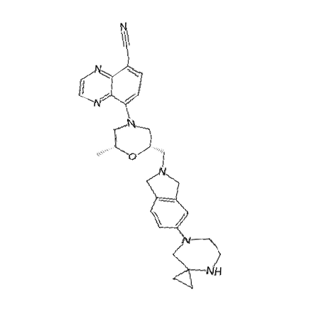 C[C@@H]1CN(c2ccc(C#N)c3nccnc23)C[C@H](CN2Cc3ccc(N4CCNC5(CC5)C4)cc3C2)O1